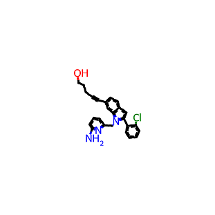 Nc1cccc(Cn2c(-c3ccccc3Cl)cc3ccc(C#CCCCO)cc32)n1